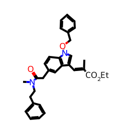 CCOC(=O)C(C)=Cc1cn(OCc2ccccc2)c2ccc(CC(=O)N(C)CCc3ccccc3)cc12